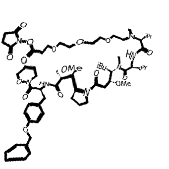 CC[C@H](C)[C@@H]([C@@H](CC(=O)N1CCC[C@H]1[C@H](OC)[C@@H](C)C(=O)N[C@@H](Cc1ccc(OCc2ccccc2)cc1)C(=O)N1CCCCO1)OC)N(C)C(=O)[C@@H](NC(=O)[C@H](C(C)C)N(C)CCOCCOCCOCCC(=O)ON1C(=O)CCC1=O)C(C)C